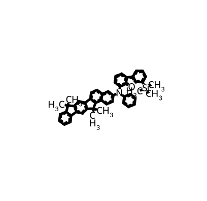 CC1(C)c2ccccc2-c2cc3c(cc21)-c1ccc2cc(N(c4ccccc4)c4cccc5c4oc4c([Si](C)(C)C)cccc45)ccc2c1C3(C)C